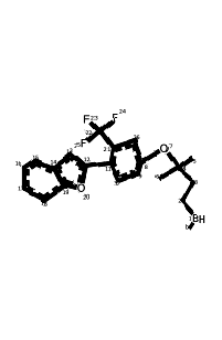 CBCCC(C)(C)Oc1ccc(-c2cc3ccccc3o2)c(C(F)(F)F)c1